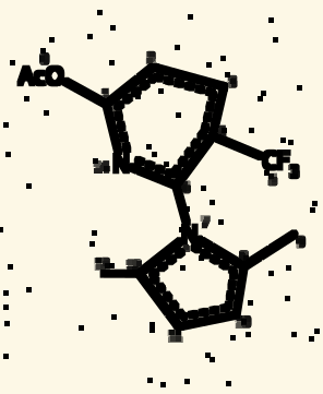 CC(=O)Oc1ccc(C(F)(F)F)c(-n2c(C)ccc2C)n1